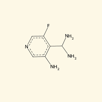 Nc1cncc(F)c1C(N)N